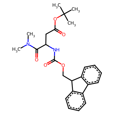 CN(C)C(=O)C(CC(=O)OC(C)(C)C)NC(=O)OCC1c2ccccc2-c2ccccc21